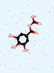 O=C(O)OC(=O)c1cc(O)c(O)c(O)c1